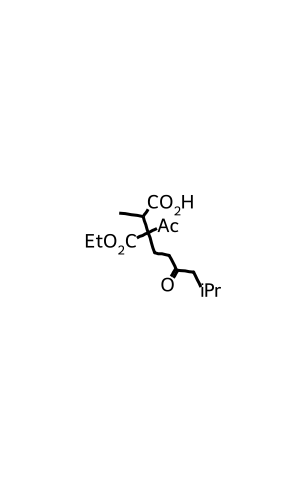 CCOC(=O)C(CCC(=O)CC(C)C)(C(C)=O)C(C)C(=O)O